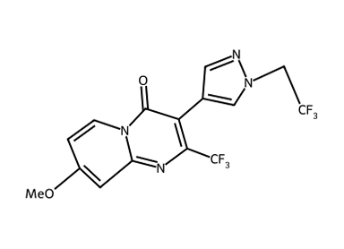 COc1ccn2c(=O)c(-c3cnn(CC(F)(F)F)c3)c(C(F)(F)F)nc2c1